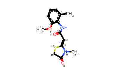 COc1cccc(C)c1NC(=O)/C=C1\SCC(=O)N1C